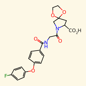 O=C(NCC(=O)N1CC2(CC1C(=O)O)OCCO2)c1ccc(Oc2ccc(F)cc2)cc1